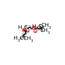 CCC(C)(C)CCC(=O)OCCC(C)OC(=O)CCC(C)C